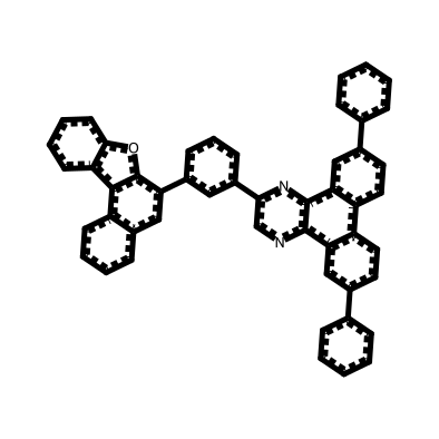 c1ccc(-c2ccc3c4ccc(-c5ccccc5)cc4c4nc(-c5cccc(-c6cc7ccccc7c7c6oc6ccccc67)c5)cnc4c3c2)cc1